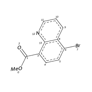 COC(=O)c1ccc(Br)c2cccnc12